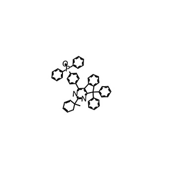 CC1(c2nc(-c3ccc(P(=O)(c4ccccc4)c4ccccc4)cc3)c3c(n2)C(c2ccccc2)(c2ccccc2)c2ccccc2-3)C=CC=CC1